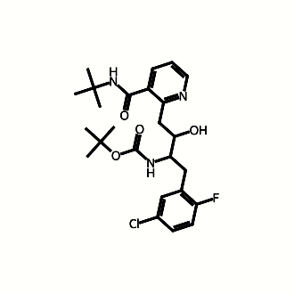 CC(C)(C)NC(=O)c1cccnc1CC(O)C(Cc1cc(Cl)ccc1F)NC(=O)OC(C)(C)C